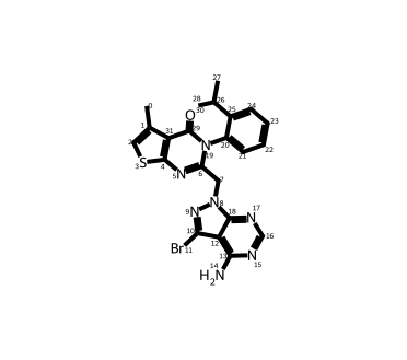 Cc1csc2nc(Cn3nc(Br)c4c(N)ncnc43)n(-c3ccccc3C(C)C)c(=O)c12